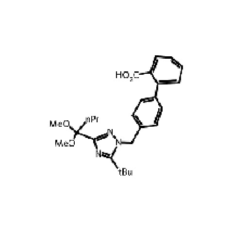 CCCC(OC)(OC)c1nc(C(C)(C)C)n(Cc2ccc(-c3ccccc3C(=O)O)cc2)n1